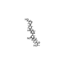 CC(O)C(=O)N1CC[C@H](Oc2ccc(-c3ncnc(Nc4ccc(N5CCO[C@@H](CO)C5)cc4)n3)cc2C#N)C(F)(F)C1